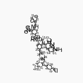 O=C(NS(=O)(=O)c1ccc(NC[C@@H]2COCCO2)c([N+](=O)[O-])c1)c1ccc(N2CCN(CC3=C(c4ccc(Cl)cc4)CC4(CCC4)CC3)CC2)cc1N1CCCOc2nc3[nH]ccc3cc21